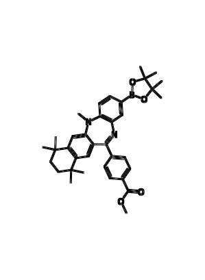 COC(=O)c1ccc(C2=Nc3cc(B4OC(C)(C)C(C)(C)O4)ccc3N(C)c3cc4c(cc32)C(C)(C)CCC4(C)C)cc1